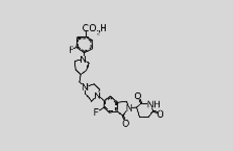 O=C1CCC(N2Cc3cc(N4CCN(CC5CCN(c6ccc(C(=O)O)cc6F)CC5)CC4)c(F)cc3C2=O)C(=O)N1